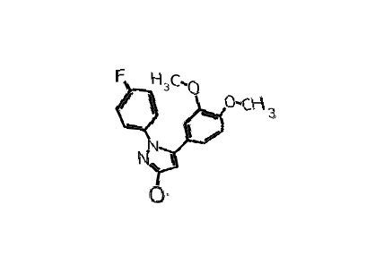 COc1ccc(-c2cc([O])nn2-c2ccc(F)cc2)cc1OC